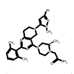 Cc1cccc(C)c1-c1nc2c(c(N3CCN(CC(N)=O)[C@H](C)C3)n1)CN(c1cc(C(C)C)nn1C)CC2